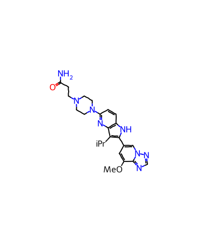 COc1cc(-c2[nH]c3ccc(N4CCN(CCC(N)=O)CC4)nc3c2C(C)C)cn2ncnc12